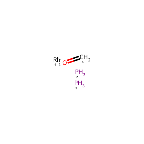 C=O.P.P.[Rh]